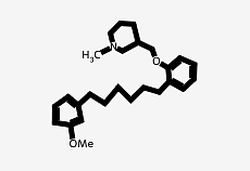 COc1cccc(CCCCCCc2ccccc2OCC2CCCN(C)C2)c1